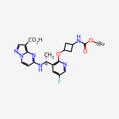 C[C@@H](Nc1ccn2ncc(C(=O)O)c2n1)c1cc(F)cnc1OC1CC(NC(=O)OC(C)(C)C)C1